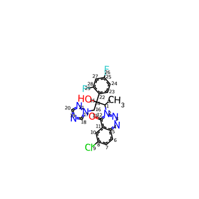 CC(n1nnc2ccc(Cl)cc2c1=O)C(O)(Cn1cncn1)c1ccc(F)cc1F